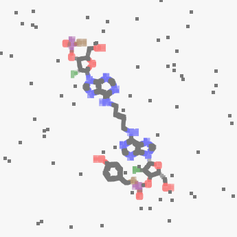 O=[PH](S)O[C@H]1[C@@H](F)[C@H](n2cnc3c(NC/C=C/CNc4ncnc5c4ncn5[C@@H]4O[C@H](CO)[C@@H](O[PH](=O)SCc5ccc(O)cc5)[C@H]4F)ncnc32)O[C@@H]1CO